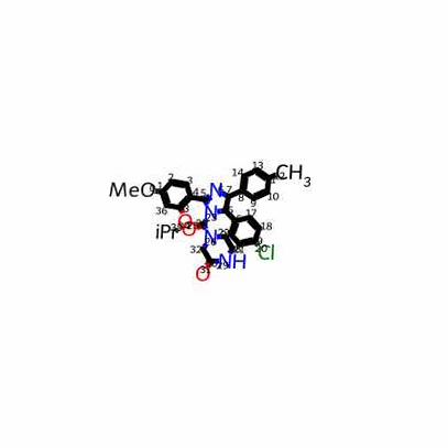 COc1ccc(C2=NC(c3ccc(C)cc3)C(c3ccc(Cl)cc3)N2C(=O)N2CCNC(=O)C2)c(OC(C)C)c1